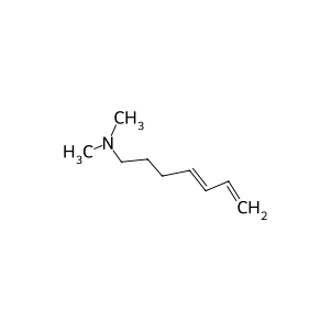 C=C/C=C/CCCN(C)C